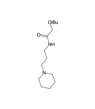 CC(C)COCC(=O)NCCCN1CCCCC1